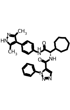 Cc1n[nH]c(C)c1-c1ccc(NC(=O)[C@@H](NC(=O)c2cnnn2-c2ccccc2)C2CCCCCC2)cc1